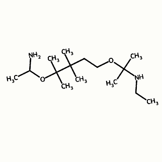 CCNC(C)(C)OCCC(C)(C)C(C)(C)OC(C)N